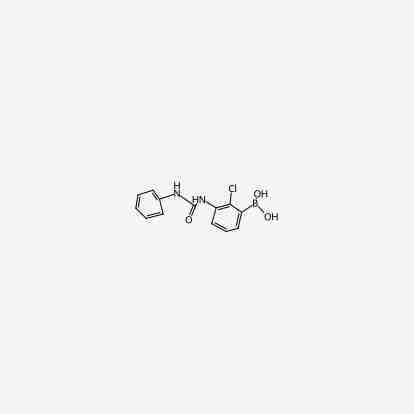 O=C(Nc1ccccc1)Nc1cccc(B(O)O)c1Cl